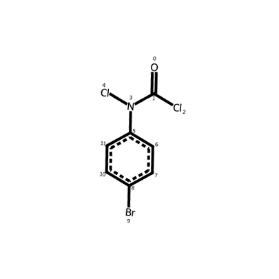 O=C(Cl)N(Cl)c1ccc(Br)cc1